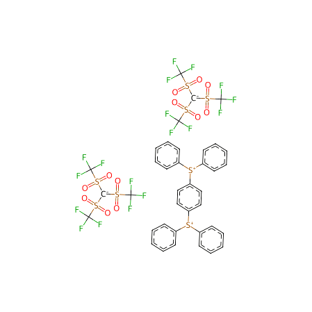 O=S(=O)([C-](S(=O)(=O)C(F)(F)F)S(=O)(=O)C(F)(F)F)C(F)(F)F.O=S(=O)([C-](S(=O)(=O)C(F)(F)F)S(=O)(=O)C(F)(F)F)C(F)(F)F.c1ccc([S+](c2ccccc2)c2ccc([S+](c3ccccc3)c3ccccc3)cc2)cc1